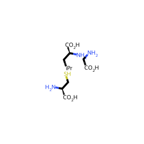 CC(C)C[C@H](N)C(=O)O.NCC(=O)O.N[C@@H](CS)C(=O)O